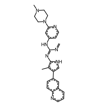 C=N/C(=N\c1[nH]cc(-c2ccc3ncccc3c2)c1C)Nc1ccnc(N2CCN(C)CC2)c1